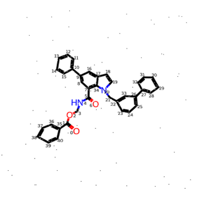 O=C(OCNC(=O)c1cc(-c2ccccc2)cc2ccn(Cc3cccc(-c4ccccc4)c3)c12)c1ccccc1